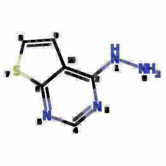 NNc1ncnc2sccc12